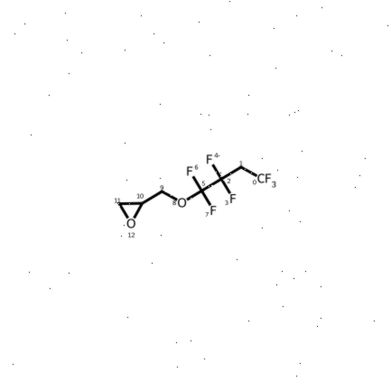 FC(F)(F)CC(F)(F)C(F)(F)OCC1CO1